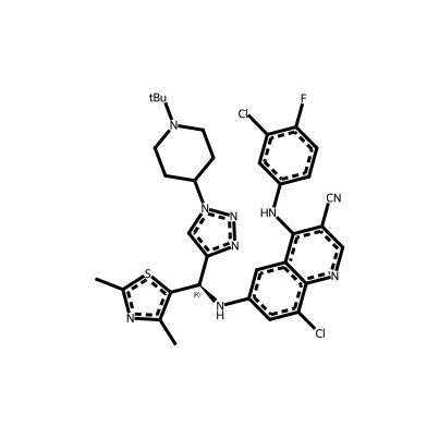 Cc1nc(C)c([C@H](Nc2cc(Cl)c3ncc(C#N)c(Nc4ccc(F)c(Cl)c4)c3c2)c2cn(C3CCN(C(C)(C)C)CC3)nn2)s1